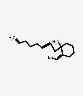 C=CCCCC=CCC1(N)CCCCC1=CCC